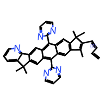 C=C/C=C\C1=C(C)c2cc3c(-c4ncccn4)c4cc5c(cc4c(-c4ncccn4)c3cc2C1(C)C)-c1ncccc1C5(C)C